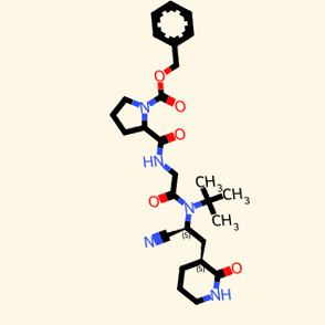 CC(C)(C)N(C(=O)CNC(=O)C1CCCN1C(=O)OCc1ccccc1)[C@H](C#N)C[C@@H]1CCCNC1=O